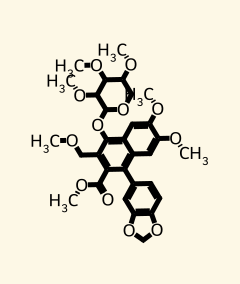 COCc1c(C(=O)OC)c(-c2ccc3c(c2)OCO3)c2cc(OC)c(OC)cc2c1OC1OCC(OC)C(OC)C1OC